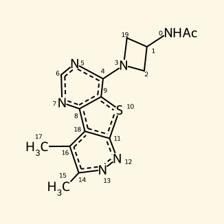 CC(=O)NC1CN(c2ncnc3c2sc2nnc(C)c(C)c23)C1